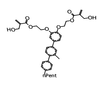 C=C(CO)C(=O)OCCOc1ccc(-c2ccc(-c3ccc(CCCCC)cc3)c(C)c2)cc1OCCOC(=O)C(=C)CO